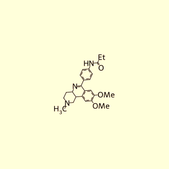 CCC(=O)Nc1ccc(C2=NC3CCN(C)CC3c3cc(OC)c(OC)cc32)cc1